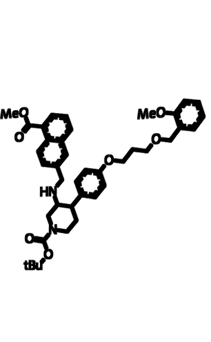 COC(=O)c1cccc2cc(CNC3CN(C(=O)OC(C)(C)C)CCC3c3ccc(OCCCOCc4ccccc4OC)cc3)ccc12